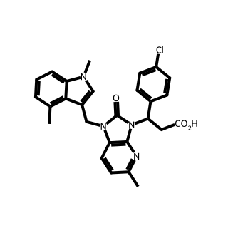 Cc1ccc2c(n1)n(C(CC(=O)O)c1ccc(Cl)cc1)c(=O)n2Cc1cn(C)c2cccc(C)c12